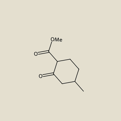 COC(=O)C1CCC(C)CC1=O